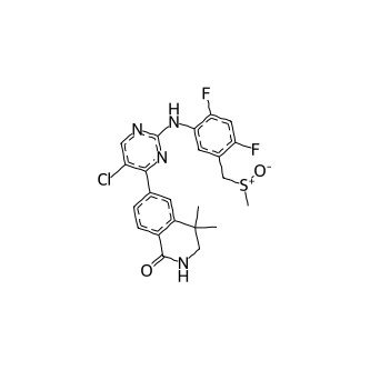 C[S+]([O-])Cc1cc(Nc2ncc(Cl)c(-c3ccc4c(c3)C(C)(C)CNC4=O)n2)c(F)cc1F